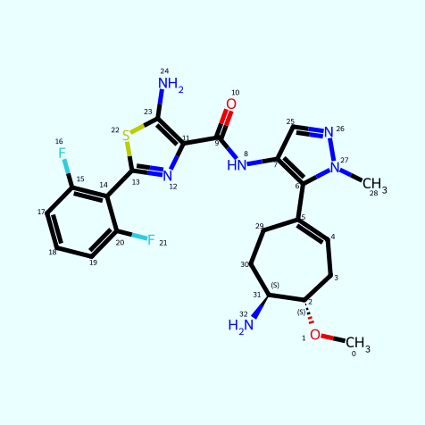 CO[C@H]1CC=C(c2c(NC(=O)c3nc(-c4c(F)cccc4F)sc3N)cnn2C)CC[C@@H]1N